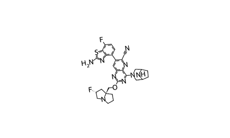 N#Cc1nc2c(N3CC4CCC(C3)N4)nc(OC[C@@]34CCCN3C[C@H](F)C4)nc2cc1-c1ccc(F)c2sc(N)nc12